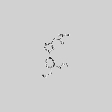 COc1ccc(-c2cnc(CC(=O)NO)o2)cc1OC